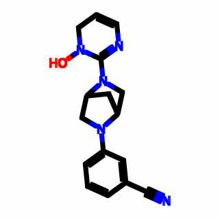 N#Cc1cccc(N2CC3CC2CN3C2=NC=CCN2O)c1